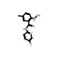 Cc1ccc(NO)c(C(=O)Nc2ccc(Cl)cn2)c1